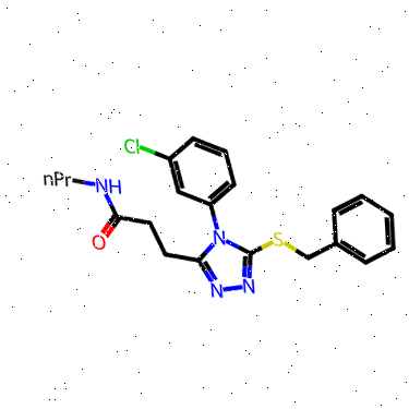 CCCNC(=O)CCc1nnc(SCc2ccccc2)n1-c1cccc(Cl)c1